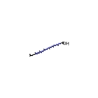 CC(C)=CCC/C(C)=C/C=C/C(C)=C/C=C/C(C)=C/C=C/C=C(C)/C=C/C=C(C)/C=C/C=C(C)/C=C/CC(C)(C)O